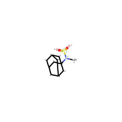 CCCN([SH](=O)=O)C12CC3CC(CC(C3)C1)C2